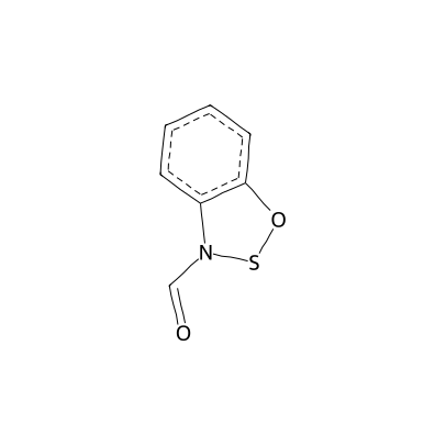 O=CN1SOc2ccccc21